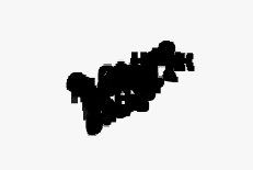 CCn1c(-c2cc(N3CCN4CCOC[C@@H]4C3)cnc2[C@H](C)OC)c2c3cc(ccc31)-c1csc(n1)C[C@H](NC(=O)C(C(C)C)N1CC[C@]3(CCN(C(=O)[C@@H]4NC4C4CC4)C3)C1)C(=O)N1CCC[C@H](N1)C(=O)OCC(C)(C)C2